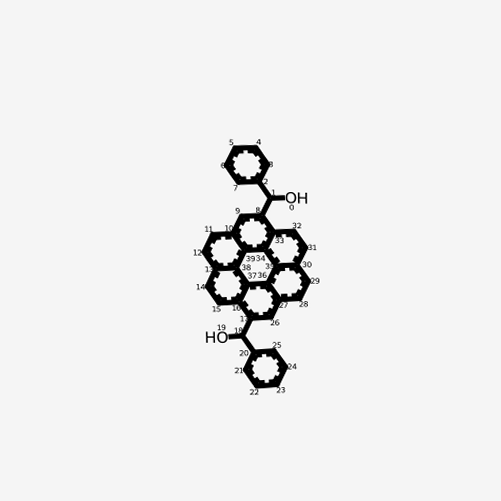 OC(c1ccccc1)c1cc2ccc3ccc4c(C(O)c5ccccc5)cc5ccc6ccc1c1c6c5c4c3c21